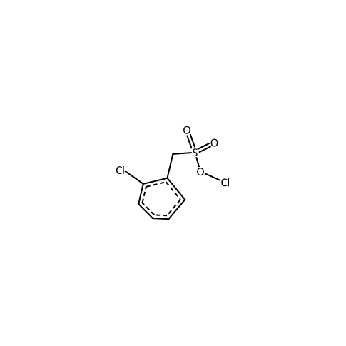 O=S(=O)(Cc1ccccc1Cl)OCl